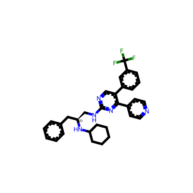 FC(F)(F)c1cccc(-c2cnc(NC[C@H](Cc3ccccc3)NC3CCCCC3)nc2-c2ccncc2)c1